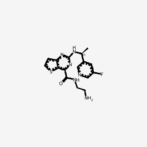 C[C@H](Nc1nc(C(=O)NCCN)c2sccc2n1)c1cncc(F)c1